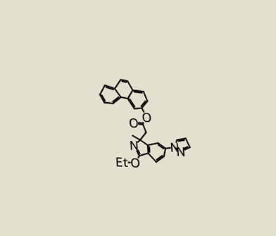 CCOC1=NC(C)(CC(=O)Oc2ccc3ccc4ccccc4c3c2)c2cc(-n3cccn3)ccc21